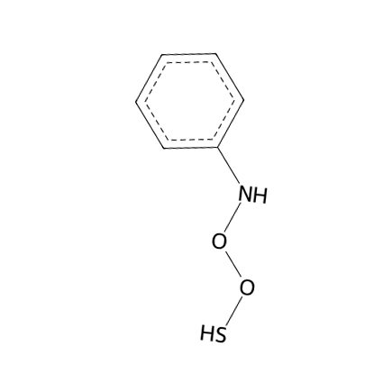 SOONc1ccccc1